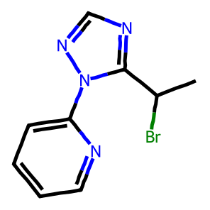 CC(Br)c1ncnn1-c1ccccn1